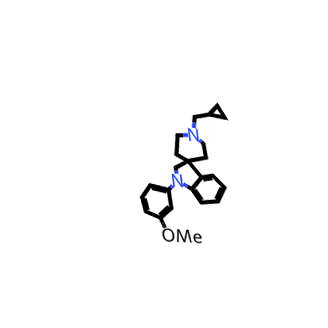 COc1cccc(N2CC3(CCN(CC4CC4)CC3)c3ccccc32)c1